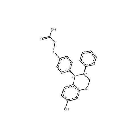 O=C(O)CSc1ccc([C@@H]2c3ccc(O)cc3OC[C@@H]2c2ccccc2)cc1